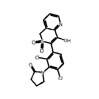 O=C1CCCN1c1c(Cl)ccc(C2=C(O)c3ncccc3CS2(=O)=O)c1Cl